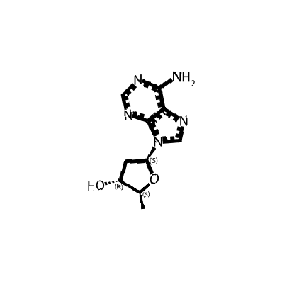 C[C@@H]1O[C@H](n2cnc3c(N)ncnc32)C[C@H]1O